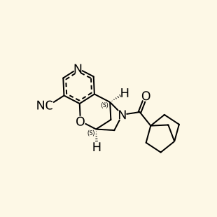 N#Cc1cncc2c1O[C@H]1C[C@@H]2N(C(=O)C23CCC(CC2)C3)C1